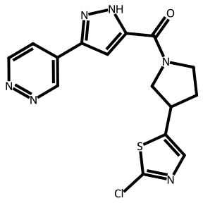 O=C(c1cc(-c2ccnnc2)n[nH]1)N1CCC(c2cnc(Cl)s2)C1